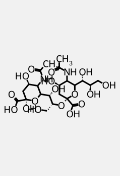 CC(=O)NC1C([C@H](O)[C@H](O)CO)O[C@@](O[C@H](CO)[C@@H](O)C2O[C@@](O)(C(=O)O)C[C@@H](O)C2NC(C)=O)(C(=O)O)C[C@H]1O